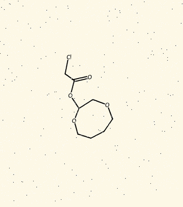 O=C(CCl)OC1COCCCCO1